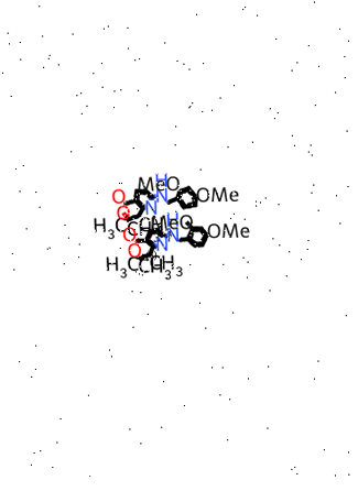 COc1ccc(CNc2ccc3c(n2)C(C)C(C)(C)OC3=O)c(OC)c1.COc1ccc(CNc2ccc3c(n2)[C@H](C)C(C)(C)OC3=O)c(OC)c1